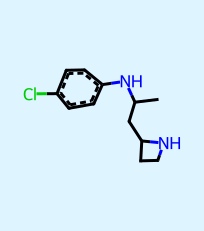 CC(CC1CCN1)Nc1ccc(Cl)cc1